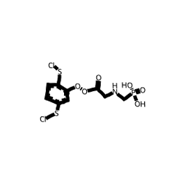 O=C(CNCP(=O)(O)O)OOc1cc(SCl)ccc1SCl